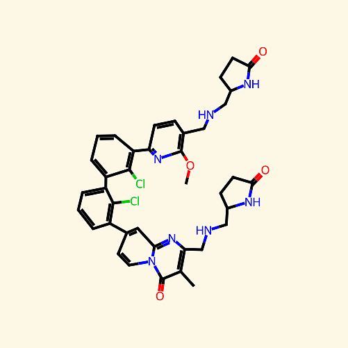 COc1nc(-c2cccc(-c3cccc(-c4ccn5c(=O)c(C)c(CNCC6CCC(=O)N6)nc5c4)c3Cl)c2Cl)ccc1CNCC1CCC(=O)N1